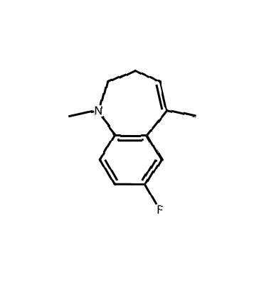 CC1=CCCN(C)c2ccc(F)cc21